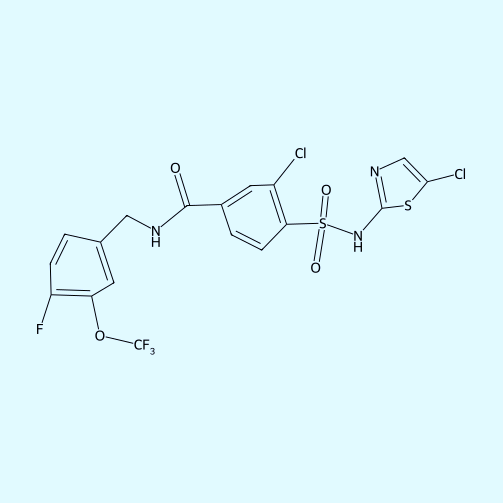 O=C(NCc1ccc(F)c(OC(F)(F)F)c1)c1ccc(S(=O)(=O)Nc2ncc(Cl)s2)c(Cl)c1